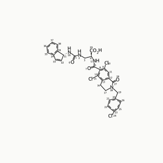 O=C(NC[C@H](NC(=O)c1c(Cl)cc2c(c1Cl)CCN(Cc1ccc(Cl)cc1)C2=O)C(=O)O)N[C@@H]1C=Cc2ccccc21